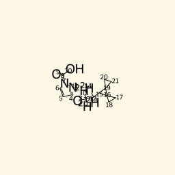 [2H]C([2H])(Oc1ccn(C(=O)O)n1)C([2H])([2H])C1C2(CC2)C12CC2